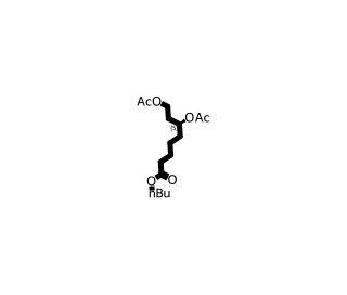 CCCCOC(=O)CCCC[C@@H](CCOC(C)=O)OC(C)=O